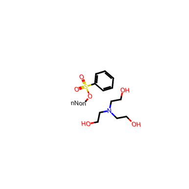 CCCCCCCCCOS(=O)(=O)c1ccccc1.OCCN(CCO)CCO